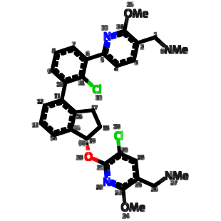 CNCc1ccc(-c2cccc(-c3cccc4c3CC[C@@H]4Oc3nc(OC)c(CNC)cc3Cl)c2Cl)nc1OC